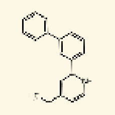 CCC1=CC(c2cccc(-c3ccccc3)c2)NC=C1